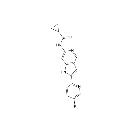 O=C(Nc1cc2[nH]c(-c3ccc(F)cn3)cc2cn1)C1CC1